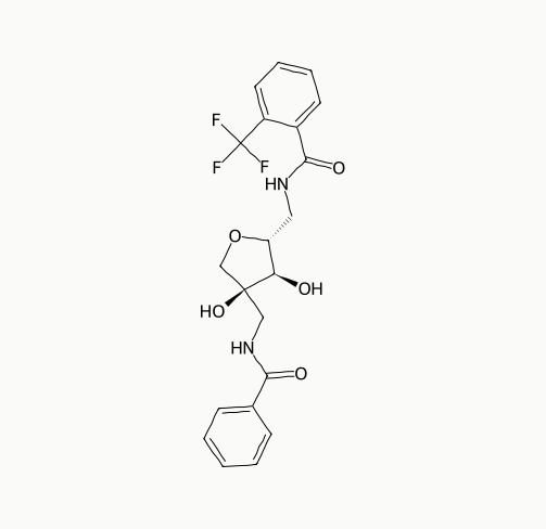 O=C(NC[C@]1(O)CO[C@H](CNC(=O)c2ccccc2C(F)(F)F)[C@H]1O)c1ccccc1